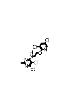 CCc1nc(C)nc(NCCOc2ncc(Cl)cc2Cl)c1Cl